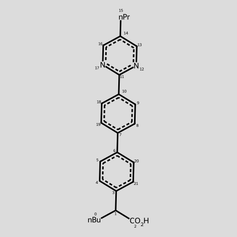 CCCCC(C(=O)O)c1ccc(-c2ccc(-c3ncc(CCC)cn3)cc2)cc1